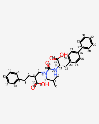 CC(C)CN(CC(CCc1ccccc1)C(=O)O)C(=O)N[C@@H](Cc1ccc(-c2ccccc2)cc1)C(=O)O